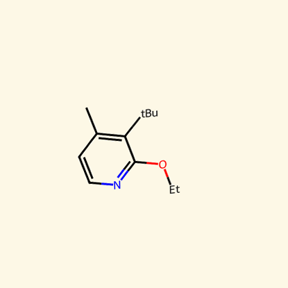 CCOc1nccc(C)c1C(C)(C)C